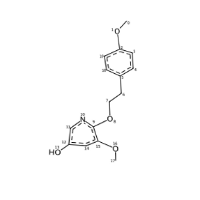 COc1ccc(CCOc2ncc(O)cc2OC)cc1